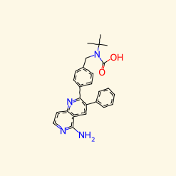 CC(C)(C)N(Cc1ccc(-c2nc3ccnc(N)c3cc2-c2ccccc2)cc1)C(=O)O